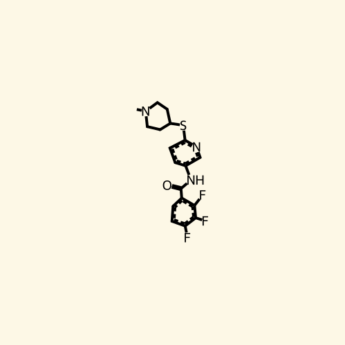 CN1CCC(Sc2ccc(NC(=O)c3ccc(F)c(F)c3F)cn2)CC1